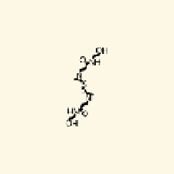 O=C(CCN1CC1SSC1CN1CCC(=O)NCCO)NCCO